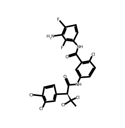 CC(Cl)(Cl)[C@H](C(=O)Nc1ccc(Cl)c(C(=O)Nc2ccc(F)c(N)c2F)c1)c1ccc(Cl)c(Cl)c1